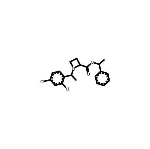 CC(OC(=O)C1CCN1C(C)c1ccc(Cl)cc1Cl)c1ccccc1